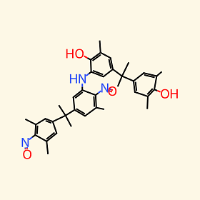 Cc1cc(C(C)(C)c2cc(C)c(O)c(Nc3cc(C(C)(C)c4cc(C)c(N=O)c(C)c4)cc(C)c3N=O)c2)cc(C)c1O